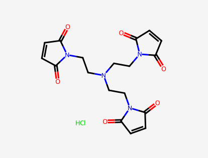 Cl.O=C1C=CC(=O)N1CCN(CCN1C(=O)C=CC1=O)CCN1C(=O)C=CC1=O